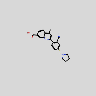 COC(=O)c1ccc2c(C)cc(-c3ccc(S(=O)(=O)N4CC[C@H](F)C4)cc3C#N)nc2c1